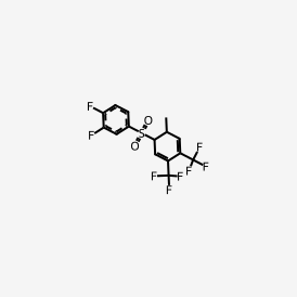 CC1C=C(C(F)(F)F)C(C(F)(F)F)=CC1S(=O)(=O)c1ccc(F)c(F)c1